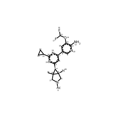 CC(=O)N1C[C@H]2[C@H](c3cc(-c4cnc(N)c(OC(F)F)c4)nc(C4CC4)n3)C2(C)C1